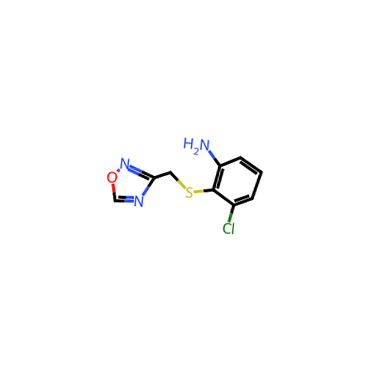 Nc1cccc(Cl)c1SCc1ncon1